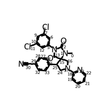 CN1C(=O)N(c2cc(Cl)cc(Cl)c2)C(=O)C12CN(c1ccccn1)CC2c1ccc(C#N)cc1